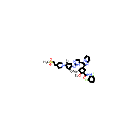 CCOc1ccc(-c2nc3ccccn3c2-c2ccnc(Nc3cc(CC)c(N4CCC(CCS(C)(=O)=O)CC4)cc3OC)n2)cc1C(=O)Nc1c(F)cccc1F